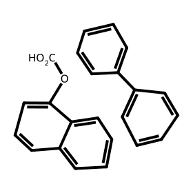 O=C(O)Oc1cccc2ccccc12.c1ccc(-c2ccccc2)cc1